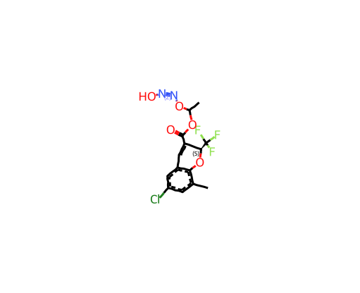 Cc1cc(Cl)cc2c1O[C@H](C(F)(F)F)C(C(=O)OC(C)O/N=N\O)=C2